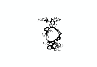 CCn1c(-c2cccnc2[C@H](C)OC)c2c3cc(ccc31)-c1csc(n1)C[C@H](NC(=O)[C@H](C(C)C)N(C)C(=O)N1CC(O)(COC)C1)C(=O)N1CCC[C@H](N1)C(=O)OCC(C)(C)C2